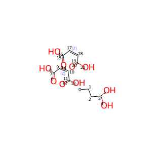 CCCC(O)O.O=C(O)/C=C\C(=O)O.O=C(O)/C=C\C(=O)O